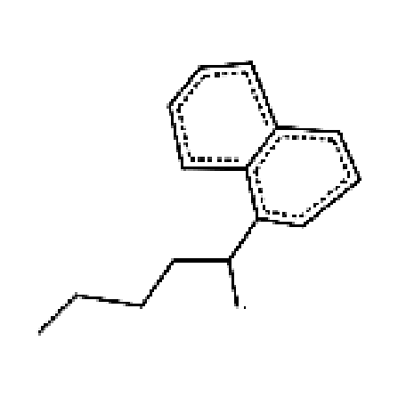 [CH2]C(CCCC)c1cccc2ccccc12